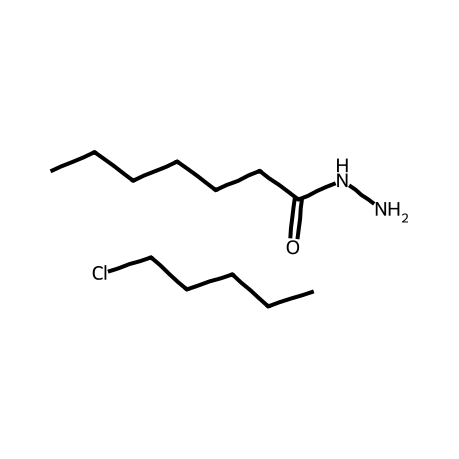 CCCCCCC(=O)NN.CCCCCCl